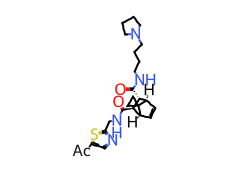 CC(=O)c1cnc(CNC(=O)[C@H]2[C@H](C(=O)NCCCCN3CCCC3)[C@H]3C=C[C@@H]2C32CC2)s1